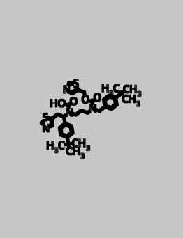 CC(C)(C)c1ccc(CN(CCCN(C(=O)O)C(Cc2cncs2)c2ccc(C(C)(C)C)cc2)C(=O)OCc2cncs2)cc1